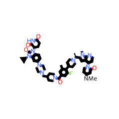 CNc1ccn(-c2ccnc3c2cc([C@H](C)N2CC=C(c4c(C)cc(C(=O)N5CCC(CN6CCN(c7ccc8c(c7)n(C7CC7)c(=O)n8[C@@H]7CCC(=O)NC7=O)CC6)CC5)cc4F)CC2)n3C)c(=O)c1